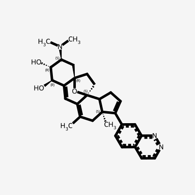 CC1=C2C=C3[C@@H](O)[C@H](O)[C@@H](N(C)C)C[C@]34CC[C@]2(O4)C2CC=C(c3ccc4ccnnc4c3)[C@@]2(C)C1